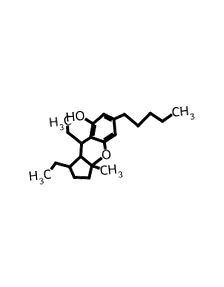 CCCCCc1cc(O)c2c(c1)OC1(C)CCC(CC)C1C2CC